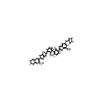 Cc1c(-c2nc3c(o2)CN(C(=O)CN2CCCCC2C(=O)O)C3)cccc1-c1cccc(-c2nc3cc(CN4CCCC4)cc(C#N)c3o2)c1C